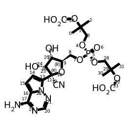 CC(C)(COP(=O)(OC[C@H]1O[C@@](C#N)(c2ccc3c(N)ncnn23)[C@H](O)[C@@H]1O)OCC(C)(C)OC(=O)O)OC(=O)O